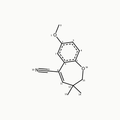 COc1ccc2c(c1)C(C#N)=CC(C)(C)CO2